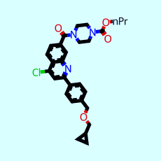 CCCOC(=O)N1CCN(C(=O)c2ccc3c(Cl)cc(-c4ccc(COCC5CC5)cc4)nc3c2)CC1